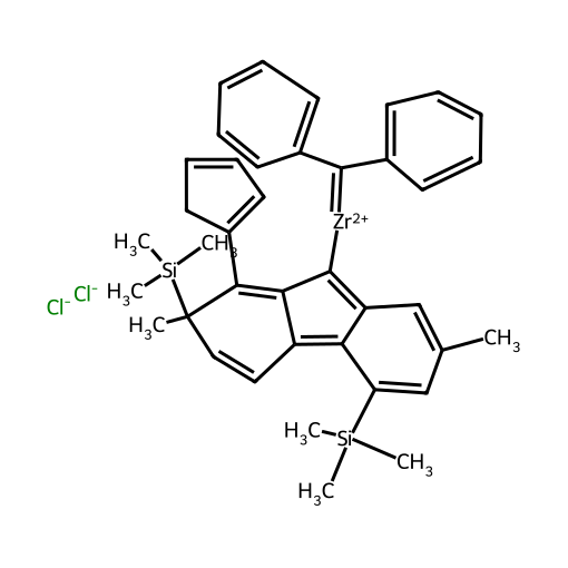 Cc1cc([Si](C)(C)C)c2c(c1)=[C]([Zr+2]=[C](c1ccccc1)c1ccccc1)C1=C(C3=CC=CC3)C(C)([Si](C)(C)C)C=CC=21.[Cl-].[Cl-]